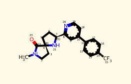 CN1CC[C@]2(CC[C@@H](c3cc(-c4ccc(C(F)(F)F)cc4)ccn3)N2)C1=O